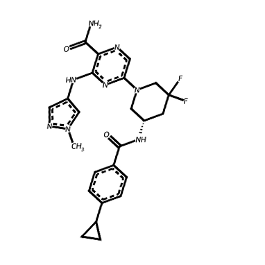 Cn1cc(Nc2nc(N3C[C@@H](NC(=O)c4ccc(C5CC5)cc4)CC(F)(F)C3)cnc2C(N)=O)cn1